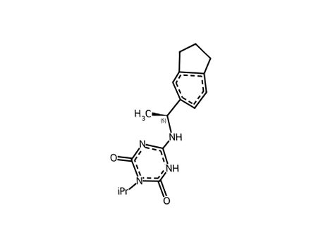 CC(C)n1c(=O)nc(N[C@@H](C)c2ccc3c(c2)CCC3)[nH]c1=O